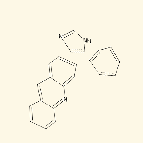 c1c[nH]cn1.c1ccc2nc3ccccc3cc2c1.c1ccccc1